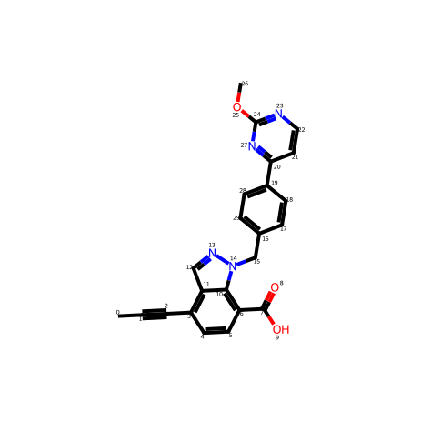 CC#Cc1ccc(C(=O)O)c2c1cnn2Cc1ccc(-c2ccnc(OC)n2)cc1